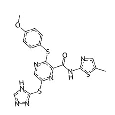 COc1ccc(Sc2ncc(Sc3nnc[nH]3)nc2C(=O)Nc2ncc(C)s2)cc1